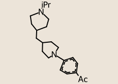 CC(=O)c1ccc(N2CCC(CC3CCN(C(C)C)CC3)CC2)cc1